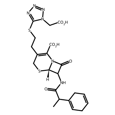 CC(C(=O)NC1C(=O)N2C(C(=O)O)=C(CCSc3nnnn3CC(=O)O)CS[C@@H]12)C1=CCC=CC1